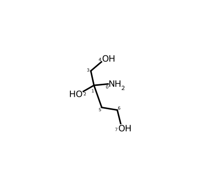 NC(O)(CO)CCO